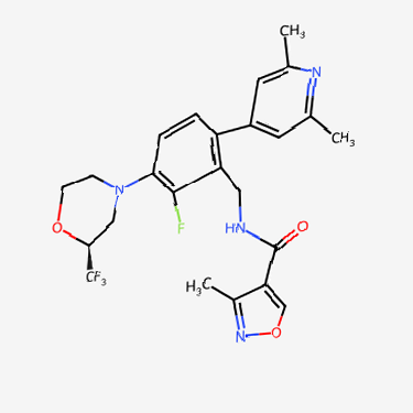 Cc1cc(-c2ccc(N3CCO[C@H](C(F)(F)F)C3)c(F)c2CNC(=O)c2conc2C)cc(C)n1